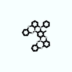 Cc1c2c(cc3c1N(c1ccccc1)c1cccc4c1B3Oc1ccccc1O4)B1Sc3ccccc3Oc3cccc(c31)O2